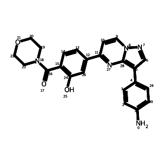 Nc1ccc(-c2cnn3ccc(-c4ccc(C(=O)N5CCOCC5)c(O)c4)nc23)cc1